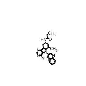 CCC(=O)N[C@@H]1C=C(C)c2c(c3ncnc(N)c3n2-c2cnc3ccccc3c2)C1